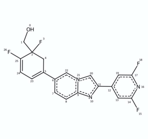 OCC1(F)CC(c2ccc3nc(-c4cc(F)nc(F)c4)cn3c2)=CC=C1F